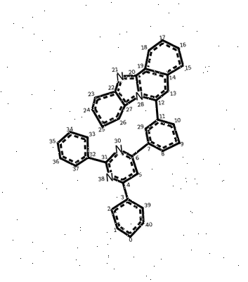 c1ccc(-c2cc(-c3cccc(-c4cc5ccccc5c5nc6ccccc6n45)c3)nc(-c3ccccc3)n2)cc1